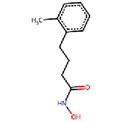 Cc1ccccc1CCCC(=O)NO